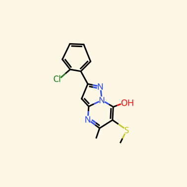 CSc1c(C)nc2cc(-c3ccccc3Cl)nn2c1O